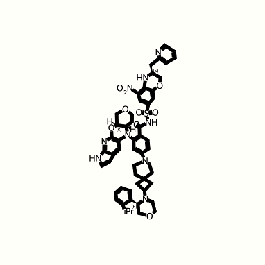 CC(C)c1ccccc1[C@@H]1COCCN1C1CC2(CCN(c3ccc(C(=O)NS(=O)(=O)c4cc5c(c([N+](=O)[O-])c4)N[C@@H](Cc4ccccn4)CO5)c(N4c5cc6cc[nH]c6nc5O[C@H]5COCC[C@@H]54)c3)CC2)C1